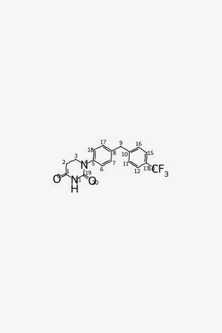 O=C1CCN(c2ccc(Cc3ccc(C(F)(F)F)cc3)cc2)C(=O)N1